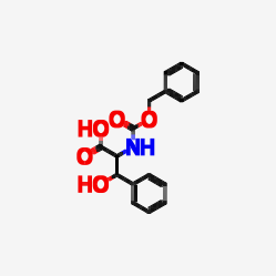 O=C(NC(C(=O)O)C(O)c1ccccc1)OCc1ccccc1